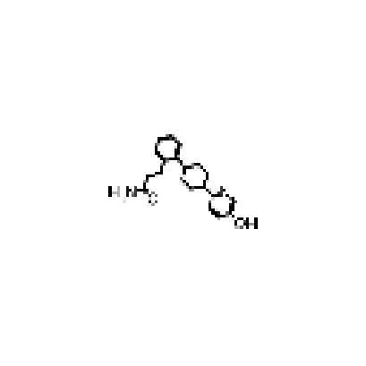 NC(=O)CCc1ccccc1C1CCC(c2ccc(O)cn2)CC1